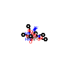 C[C@@H]([C@@H]1CC[C@@H](N=[N+]=[N-])[C@@H](O[C@H]2[C@H](O)[C@H]3OC(=O)N[C@@H]3[C@@H](OCc3ccccc3)[C@@H]2NC(=O)OCc2ccccc2)O1)N(Cc1ccccc1)C(=O)OCc1ccccc1